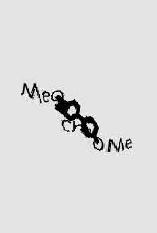 COc1ccc(-c2ccc(OC)cc2C)cc1